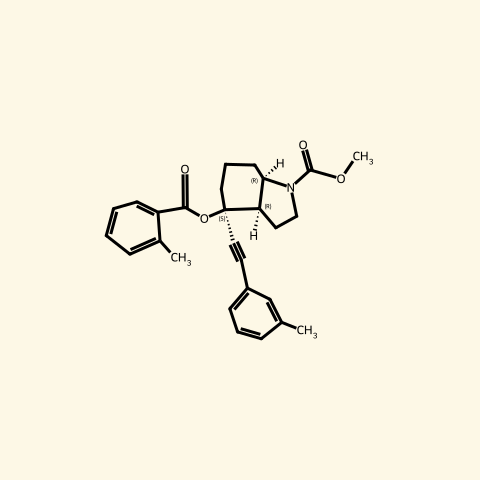 COC(=O)N1CC[C@@H]2[C@H]1CCC[C@]2(C#Cc1cccc(C)c1)OC(=O)c1ccccc1C